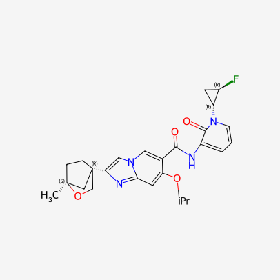 CC(C)Oc1cc2nc([C@@]34CC[C@@](C)(C3)OC4)cn2cc1C(=O)Nc1cccn([C@@H]2C[C@H]2F)c1=O